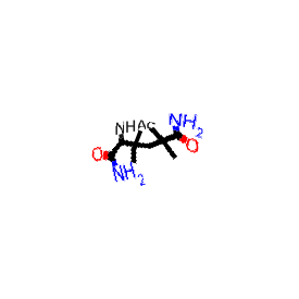 CC(=O)NC(C(N)=O)C(C)(C)CC(C)(C)C(N)=O